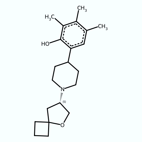 Cc1cc(C2CCN([C@@H]3COC4(CCC4)C3)CC2)c(O)c(C)c1C